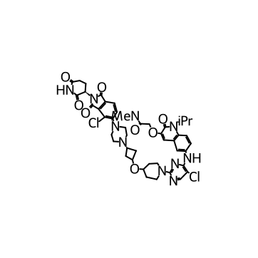 CNC(=O)COc1cc2cc(Nc3nc(N4CCC(OC5CC(N6CCN(c7ccc8c(c7Cl)C(=O)N([C@@H]7CCC(=O)NC7=O)C8=O)CC6)C5)CC4)ncc3Cl)ccc2n(C(C)C)c1=O